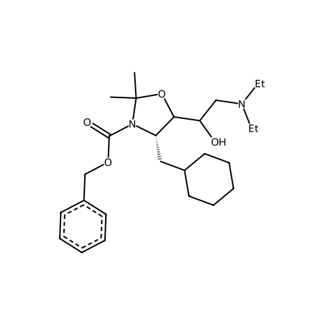 CCN(CC)CC(O)C1OC(C)(C)N(C(=O)OCc2ccccc2)[C@H]1CC1CCCCC1